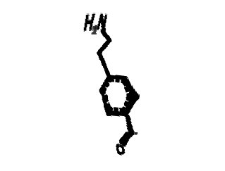 NCCc1ccc([C]=O)cc1